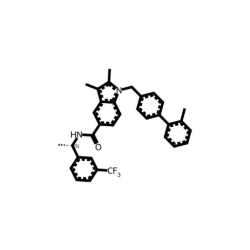 Cc1ccccc1-c1ccc(Cn2c(C)c(C)c3cc(C(=O)N[C@@H](C)c4cccc(C(F)(F)F)c4)ccc32)cc1